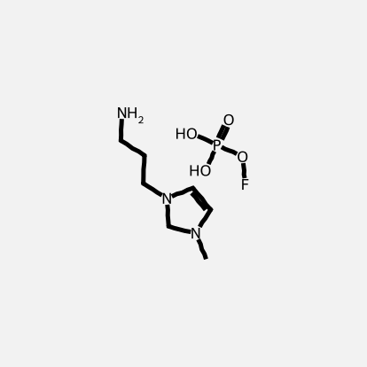 CN1C=CN(CCCN)C1.O=P(O)(O)OF